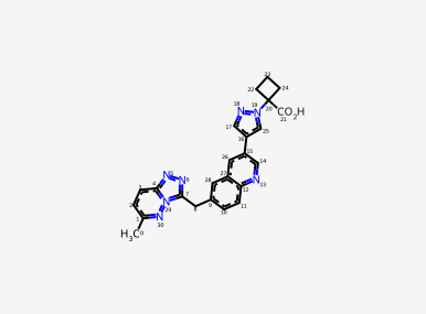 Cc1ccc2nnc(Cc3ccc4ncc(-c5cnn(C6(C(=O)O)CCC6)c5)cc4c3)n2n1